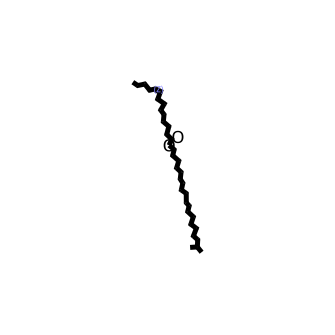 CCCC/C=C\CCCCCCCC(=O)OCCCCCCCCCCCCCCCCCC(C)C